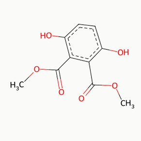 COC(=O)c1c(O)ccc(O)c1C(=O)OC